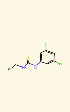 CC(C)CNC(=S)Nc1cc(Cl)cc(Cl)c1